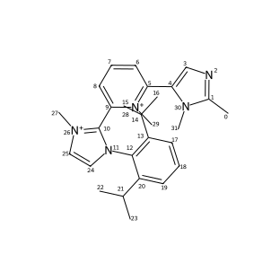 Cc1ncc(-c2cccc(-c3n(-c4c(C(C)C)cccc4C(C)C)cc[n+]3C)[n+]2C)n1C